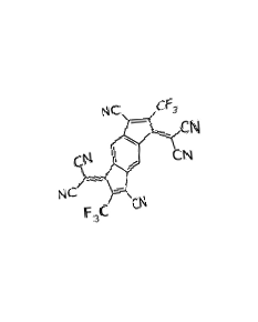 N#CC(C#N)=C1C(C(F)(F)F)=C(C#N)c2cc3c(cc21)C(C#N)=C(C(F)(F)F)C3=C(C#N)C#N